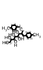 Cc1ccc(C=C=CC(=Cc2ccc(C)cc2)C(O)[C@H](O)[C@@H](O)[C@H](O)[C@H](O)CO)cc1